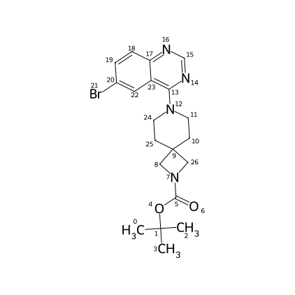 CC(C)(C)OC(=O)N1CC2(CCN(c3ncnc4ccc(Br)cc34)CC2)C1